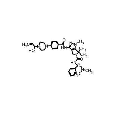 C=CC(O)N1CCN(c2ccc(C(=O)Nc3nn(C)c4c3CN(C(=O)N[C@H](CN(C)C)c3ccccc3)C4(C)C)cc2)CC1